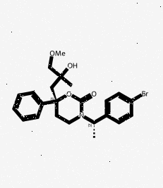 COCC(C)(O)C[C@]1(c2ccccc2)CCN([C@@H](C)c2ccc(Br)cc2)C(=O)O1